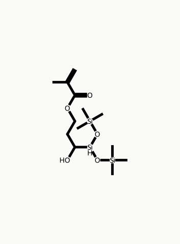 C=C(C)C(=O)OCCC(O)[SiH](O[Si](C)(C)C)O[Si](C)(C)C